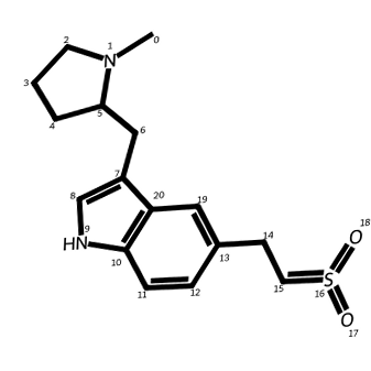 CN1CCCC1Cc1c[nH]c2ccc(CC=S(=O)=O)cc12